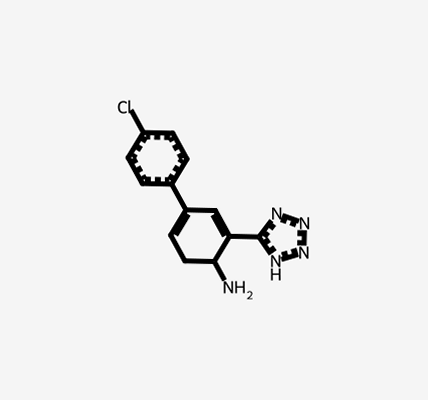 NC1CC=C(c2ccc(Cl)cc2)C=C1c1nnn[nH]1